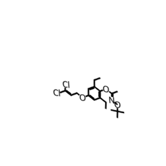 CCc1cc(OCC=C(Cl)Cl)cc(CC)c1OC(C)=NOC(C)(C)C